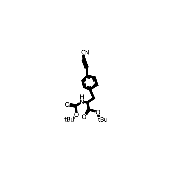 CC(C)(C)OC(=O)NC(Cc1ccc(C#CC#N)cc1)C(=O)OC(C)(C)C